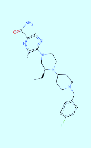 CC[C@H]1CN(c2ncc(C(N)=O)nc2C)CCN1C1CCN(Cc2ccc(F)cc2)CC1